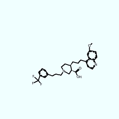 COc1ccc2nccc(CCC[C@@H]3CCN(CCCc4cccc(C(F)(F)F)c4)C[C@@H]3C(=O)O)c2c1